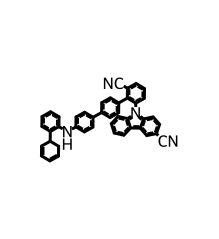 N#Cc1ccc2c(c1)c1ccccc1n2-c1cccc(C#N)c1-c1ccc(-c2ccc(Nc3ccccc3C3C=CC=CC3)cc2)cc1